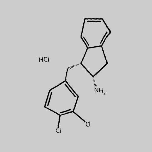 Cl.N[C@H]1Cc2ccccc2[C@H]1Cc1ccc(Cl)c(Cl)c1